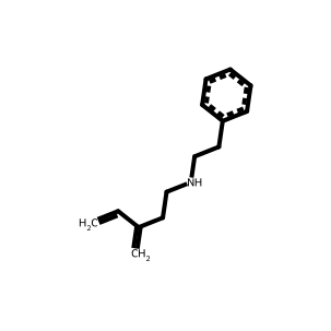 C=CC(=C)CCNCCc1ccccc1